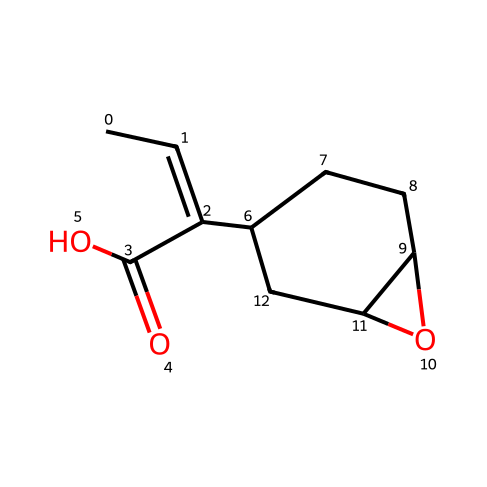 CC=C(C(=O)O)C1CCC2OC2C1